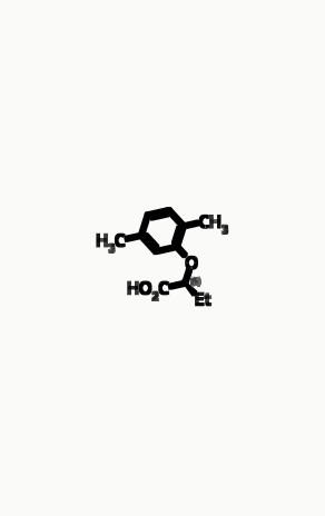 CC[C@H](Oc1cc(C)ccc1C)C(=O)O